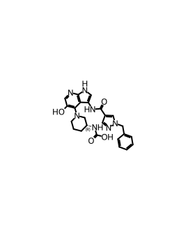 O=C(O)N[C@@H]1CCCN(c2c(O)cnc3[nH]cc(NC(=O)c4cnn(Cc5ccccc5)c4)c23)C1